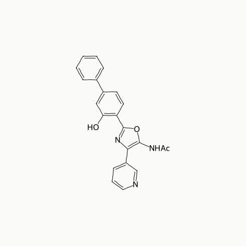 CC(=O)Nc1oc(-c2ccc(-c3ccccc3)cc2O)nc1-c1cccnc1